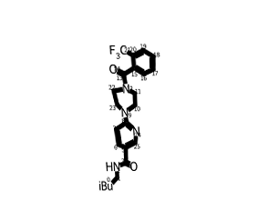 CCC(C)CNC(=O)c1ccc(N2CCN(C(=O)c3ccccc3C(F)(F)F)CC2)nc1